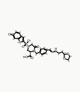 O=C(O)[C@H]1CN(S(=O)(=O)c2cc3ccc(Cl)cc3s2)CC(=O)N1Cc1ccc(C=NNCCC2OCCO2)cc1